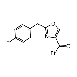 CCC(=O)c1coc(Cc2ccc(F)cc2)n1